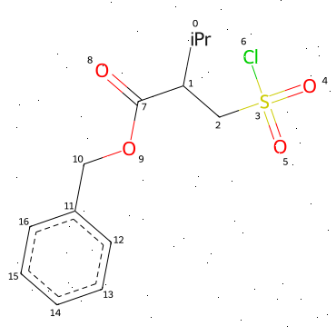 CC(C)C(CS(=O)(=O)Cl)C(=O)OCc1ccccc1